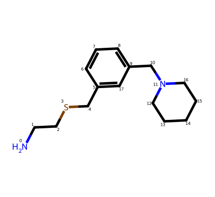 NCCSCc1cccc(CN2CCCCC2)c1